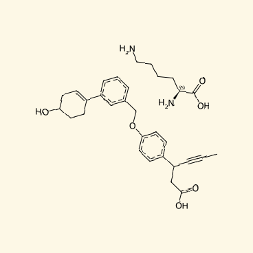 CC#CC(CC(=O)O)c1ccc(OCc2cccc(C3=CCC(O)CC3)c2)cc1.NCCCC[C@H](N)C(=O)O